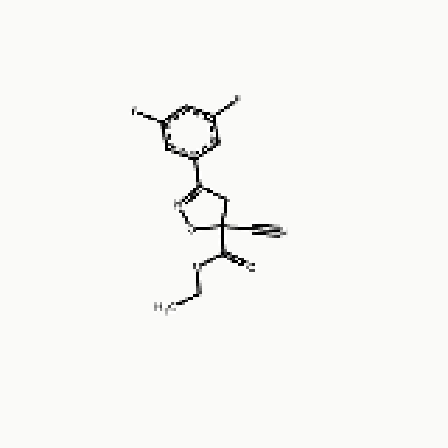 CCOC(=O)C1(C#N)CC(c2cc(F)cc(F)c2)=NO1